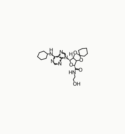 O=C(NCCO)[C@H]1O[C@@H](n2cnc3c(NC4CCCCC4)ncnc32)[C@H]2OC3(CCCCC3)OC12